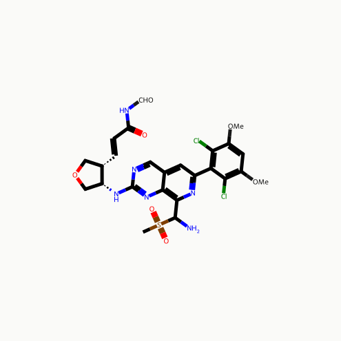 COc1cc(OC)c(Cl)c(-c2cc3cnc(N[C@@H]4COC[C@@H]4C=CC(=O)NC=O)nc3c(C(N)S(C)(=O)=O)n2)c1Cl